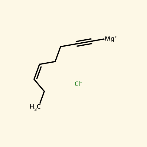 CC/C=C\CCC#[C][Mg+].[Cl-]